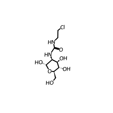 O=C(NCCCl)N[C@H]1[C@@H](O)[C@H](O)[C@@H](CO)O[C@@H]1O